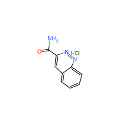 Cl.NC(=O)c1cc2ccccc2nn1